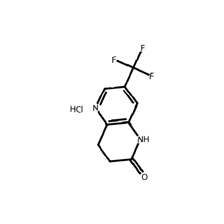 Cl.O=C1CCc2ncc(C(F)(F)F)cc2N1